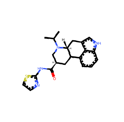 CC(C)N1C[C@H](C(=O)Nc2nccs2)CC2c3cccc4[nH]cc(c34)C[C@H]21